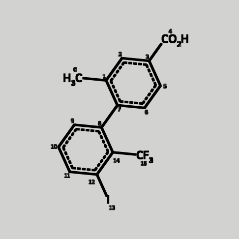 Cc1cc(C(=O)O)ccc1-c1cccc(I)c1C(F)(F)F